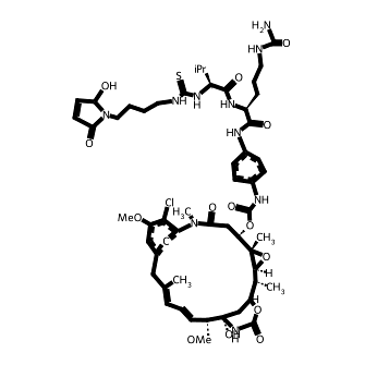 COc1cc2cc(c1Cl)N(C)C(=O)C[C@H](OC(=O)Nc1ccc(NC(=O)[C@H](CCCNC(N)=O)NC(=O)[C@@H](NC(=S)NCCCCN3C(=O)C=CC3O)C(C)C)cc1)[C@]1(C)O[C@H]1[C@H](C)[C@@H]1C[C@@](O)(NC(=O)O1)[C@H](OC)/C=C/C=C(\C)C2